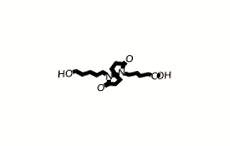 O=C1CCC2(CCC(=O)N2CCCCCO)N1CCCCCO